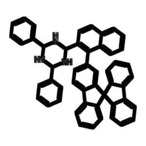 c1ccc(C2NC(c3ccccc3)NC(c3ccc4ccccc4c3-c3ccc4c(c3)C3(c5ccccc5-c5ccccc53)c3ccccc3-4)N2)cc1